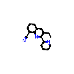 CCc1cc2cccc(C#N)c2nc1-c1ccccn1